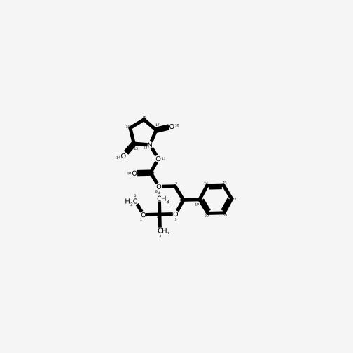 COC(C)(C)OC(COC(=O)ON1C(=O)CCC1=O)c1ccccc1